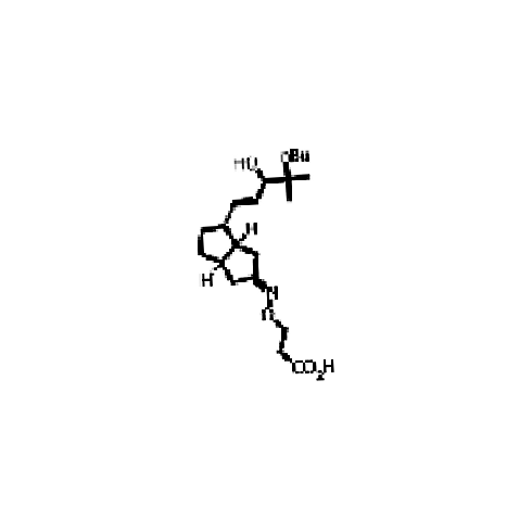 CCCCC(C)(C)C(O)C=C[C@@H]1CC[C@@H]2CC(=NOCCC(=O)O)C[C@H]21